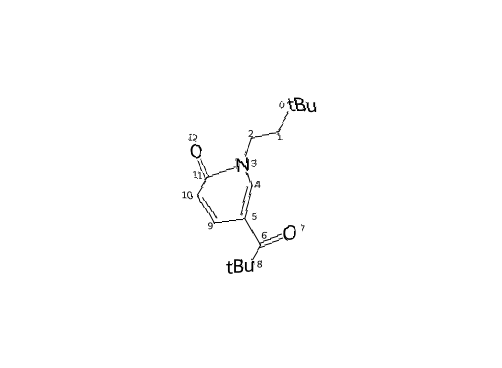 CC(C)(C)CCn1cc(C(=O)C(C)(C)C)ccc1=O